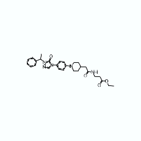 CCOC(=O)CCNC(=O)CC1CCN(c2ccc(-n3cnn(C(C)c4ccccc4)c3=O)cc2)CC1